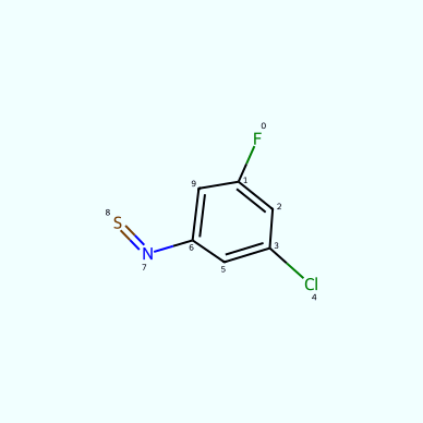 Fc1cc(Cl)cc(N=S)c1